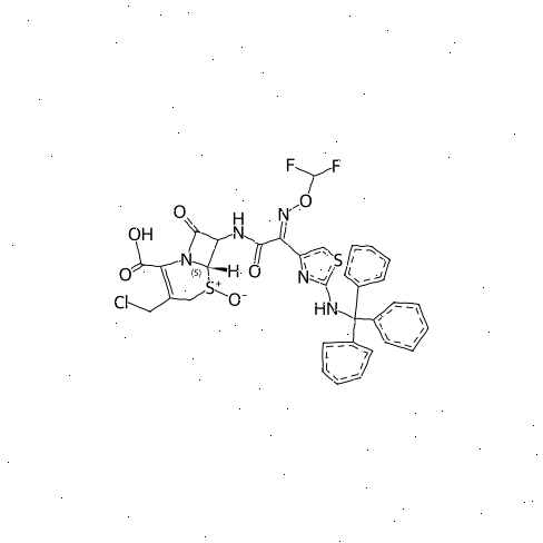 O=C(O)C1=C(CCl)C[S+]([O-])[C@H]2C(NC(=O)C(=NOC(F)F)c3csc(NC(c4ccccc4)(c4ccccc4)c4ccccc4)n3)C(=O)N12